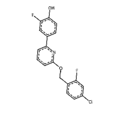 Oc1ccc(-c2cccc(OCc3ccc(Cl)cc3F)n2)cc1F